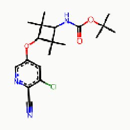 CC(C)(C)OC(=O)NC1C(C)(C)C(Oc2cnc(C#N)c(Cl)c2)C1(C)C